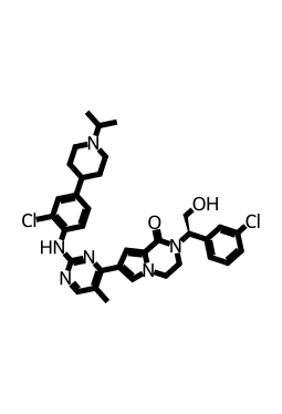 Cc1cnc(Nc2ccc(C3CCN(C(C)C)CC3)cc2Cl)nc1-c1cc2n(c1)CCN([C@@H](CO)c1cccc(Cl)c1)C2=O